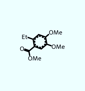 CCc1cc(OC)c(OC)cc1C(=O)OC